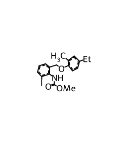 CCc1ccc(OCc2cccc(I)c2NC(=O)OC)c(C)c1